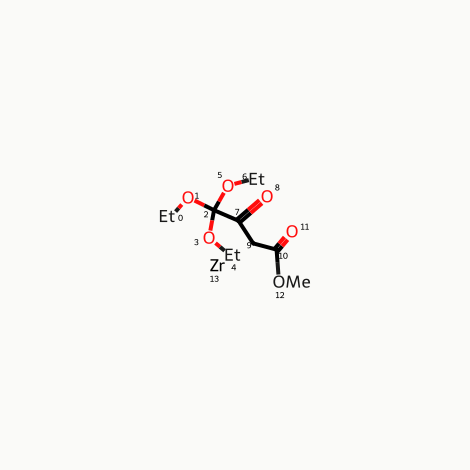 CCOC(OCC)(OCC)C(=O)CC(=O)OC.[Zr]